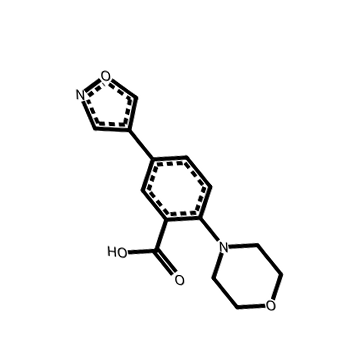 O=C(O)c1cc(-c2cnoc2)ccc1N1CCOCC1